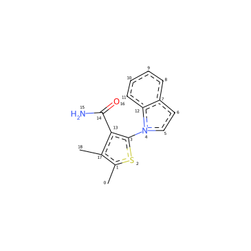 Cc1sc(-n2ccc3ccccc32)c(C(N)=O)c1C